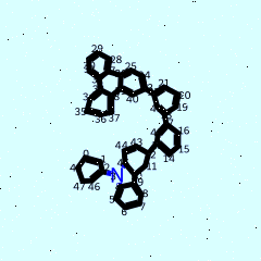 C1=CC(N2c3ccccc3C3CC(c4cccc(-c5cccc(-c6ccc7c8ccccc8c8ccccc8c7c6)c5)c4)C=CC32)=CCC1